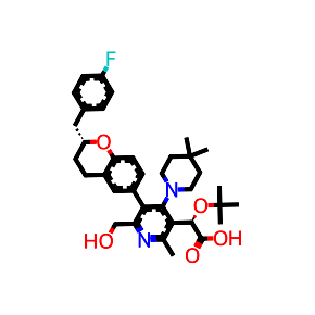 Cc1nc(CO)c(-c2ccc3c(c2)CC[C@H](Cc2ccc(F)cc2)O3)c(N2CCC(C)(C)CC2)c1[C@H](OC(C)(C)C)C(=O)O